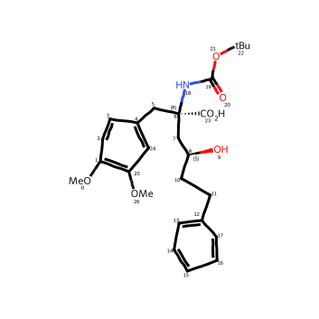 COc1ccc(C[C@](C[C@@H](O)CCc2ccccc2)(NC(=O)OC(C)(C)C)C(=O)O)cc1OC